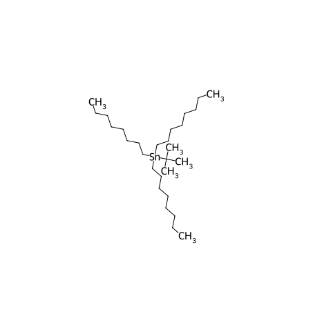 CCCCCCC[CH2][Sn]([CH2]CCCCCCC)([CH2]CCCCCCC)[C](C)(C)C